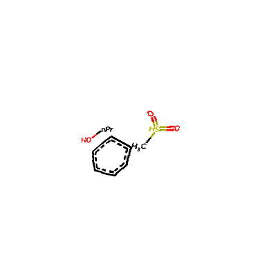 CCCO.C[SH](=O)=O.c1ccccc1